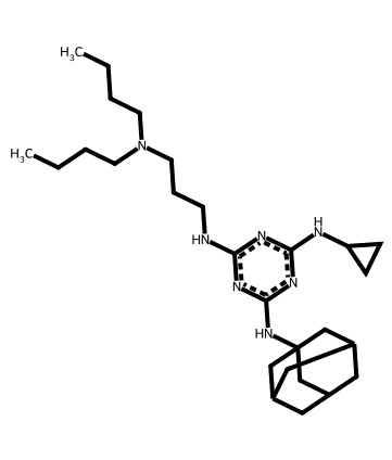 CCCCN(CCCC)CCCNc1nc(NC2CC2)nc(NC23CC4CC(CC(C4)C2)C3)n1